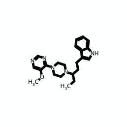 CCC(CCc1c[nH]c2ccccc12)N1CCN(c2ncncc2OC)CC1